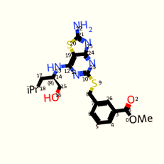 COC(=O)c1cccc(CSc2nc(N[C@@H](CO)CC(C)C)c3sc(N)nc3n2)c1